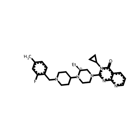 CC[C@H]1CN(c2nc3ncccc3c(=O)n2C2CC2)CCN1C1CCN(Cc2ccc(C)cc2F)CC1